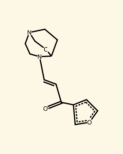 O=C(C=CN1CCN2CCC1CC2)c1ccoc1